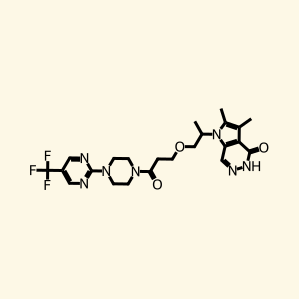 Cc1c(C)n(C(C)COCCC(=O)N2CCN(c3ncc(C(F)(F)F)cn3)CC2)c2cn[nH]c(=O)c12